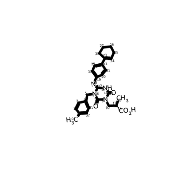 Cc1ccc(Cn2c(=O)n(C[C@H](C)C(=O)O)c(=O)[nH]/c2=N\c2ccc(C3=CCCCC3)cc2)cc1